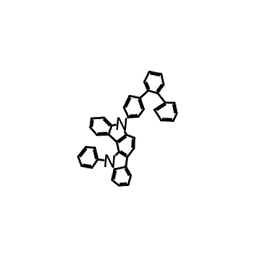 c1ccc(-c2ccccc2-c2ccc(-n3c4ccccc4c4c3ccc3c5ccccc5n(-c5ccccc5)c34)cc2)cc1